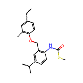 CCc1ccc(OCc2cc(C(C)C)ccc2NC(=O)SC)c(C)c1